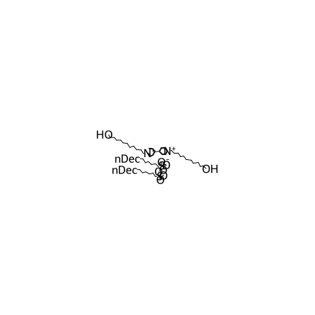 CCCCCCCCCCCCCCCCS(=O)(=O)[O-].CCCCCCCCCCCCCCCCS(=O)(=O)[O-].OCCCCCCCCCCC[n+]1ccc(-c2cc[n+](CCCCCCCCCCCO)cc2)cc1